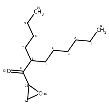 CCCCCCC(CCCC)C(=O)C1CO1